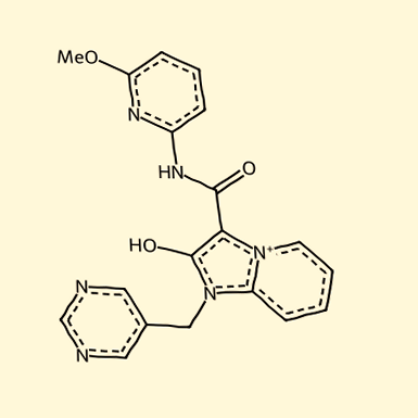 COc1cccc(NC(=O)c2c(O)n(Cc3cncnc3)c3cccc[n+]23)n1